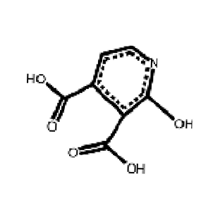 O=C(O)c1ccnc(O)c1C(=O)O